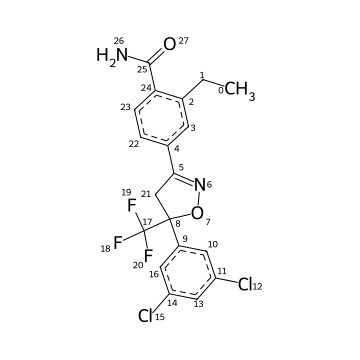 CCc1cc(C2=NOC(c3cc(Cl)cc(Cl)c3)(C(F)(F)F)C2)ccc1C(N)=O